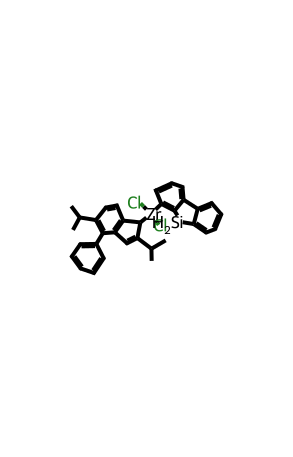 CC(C)C1=Cc2c(ccc(C(C)C)c2-c2ccccc2)[CH]1[Zr]([Cl])([Cl])[c]1cccc2c1[SiH2]c1ccccc1-2